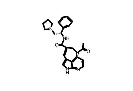 CC(=O)N1CC(C(=O)N[C@H](CN2CCCC2)c2ccccc2)=Cc2c[nH]c3nccc1c23